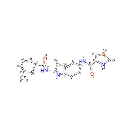 O=C(Nc1nc2ccc(NC(=O)c3cscn3)cc2s1)c1cccc(C(F)(F)F)c1